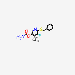 NC(=O)Oc1cnc(SCc2ccccc2)c(F)c1C(F)(F)F